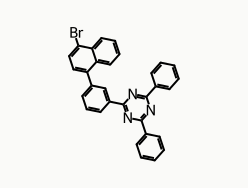 Brc1ccc(-c2cccc(-c3nc(-c4ccccc4)nc(-c4ccccc4)n3)c2)c2ccccc12